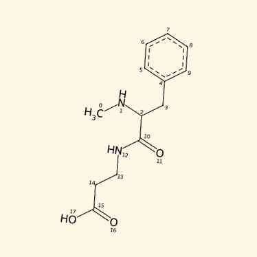 CNC(Cc1ccccc1)C(=O)NCCC(=O)O